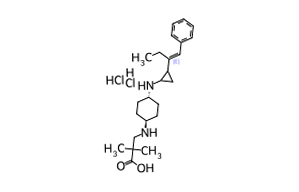 CC/C(=C\c1ccccc1)C1CC1N[C@H]1CC[C@H](NCC(C)(C)C(=O)O)CC1.Cl.Cl